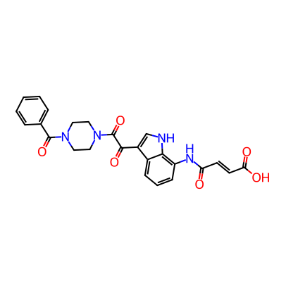 O=C(O)/C=C/C(=O)Nc1cccc2c(C(=O)C(=O)N3CCN(C(=O)c4ccccc4)CC3)c[nH]c12